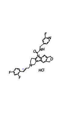 Cl.O=C(NCc1ccnc(F)c1)n1c2c(c3cc4c(cc31)COC4)CN(C/C=C/c1ccc(F)cc1F)CC2